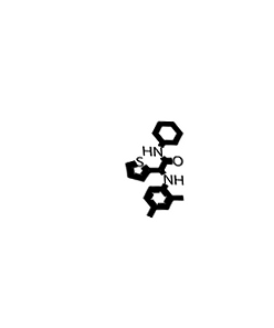 Cc1ccc(NC(C(=O)NC2CCCCC2)c2cccs2)c(C)c1